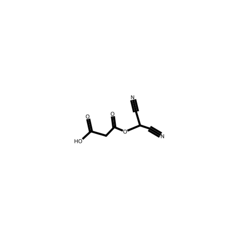 N#CC(C#N)OC(=O)CC(=O)O